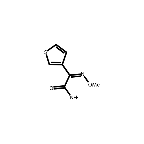 CON=C(C([NH])=O)c1ccsc1